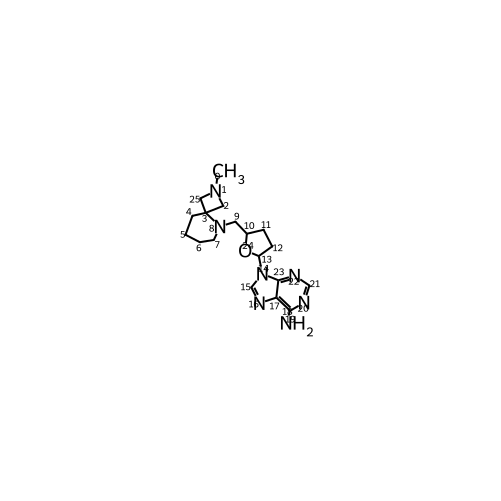 CN1CC2(CCCCN2CC2CCC(n3cnc4c(N)ncnc43)O2)C1